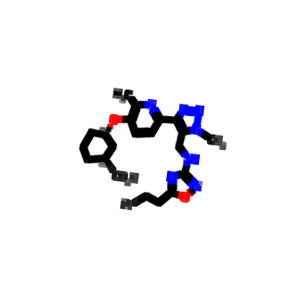 Cc1nc(-c2nnn(C)c2CNc2noc(CCC(C)C)n2)ccc1O[C@H]1CCC[C@H](C(=O)O)C1